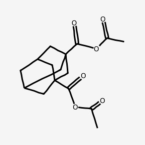 CC(=O)OC(=O)C12CC3CC(C1)CC(C(=O)OC(C)=O)(C3)C2